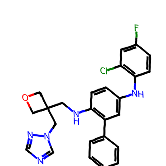 Fc1ccc(Nc2ccc(NCC3(Cn4cncn4)COC3)c(-c3ccccc3)c2)c(Cl)c1